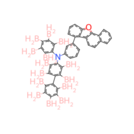 Bc1c(B)c(B)c(-c2c(B)c(B)c(N(c3cccc(-c4cccc5oc6c7ccccc7ccc6c45)c3)c3c(B)c(B)c(B)c(B)c3B)c(B)c2B)c(B)c1B